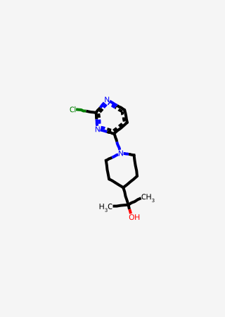 CC(C)(O)C1CCN(c2ccnc(Cl)n2)CC1